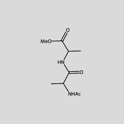 COC(=O)C(C)NC(=O)C(C)NC(C)=O